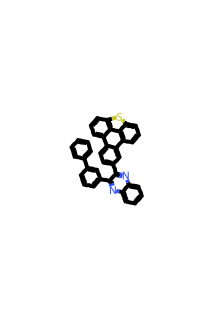 c1ccc(-c2cccc(-c3nc4ccccc4nc3-c3ccc4c(c3)c3cccc5sc6cccc4c6c53)c2)cc1